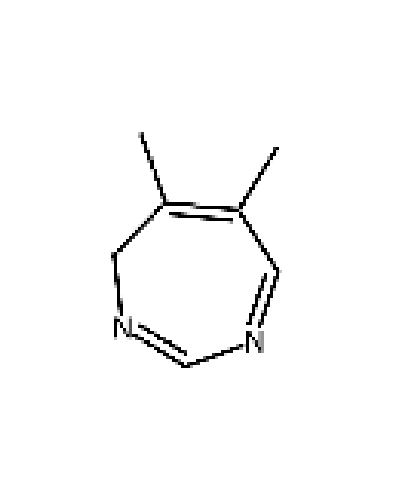 CC1=C(C)CN=CN=C1